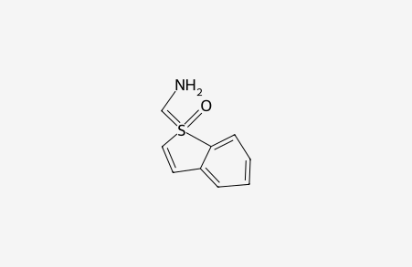 NC=S1(=O)C=Cc2ccccc21